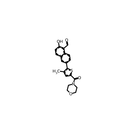 Cc1cc(C(=O)N2CCOCC2)sc1-c1ccc2c(C=O)c(O)ccc2c1